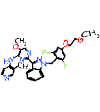 COCCOc1cc(F)c(Cn2nc(-c3ncc(OC)c(Nc4ccncc4C)n3)c3ccccc32)c(F)c1